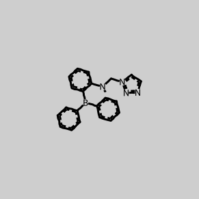 CN(Cn1ccnn1)c1ccccc1B(c1ccccc1)c1ccccc1